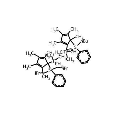 CC1=C(C)[C]([Si](CC(C)C)(CC(C)C)c2ccccc2)([Ti]([CH3])([CH3])[CH3])C(C)=C1C.CCCC[Si](CCCC)(c1ccccc1)C1(C)C(C)=C(C)C(C)=[C]1[Ti]([CH3])([CH3])[CH3]